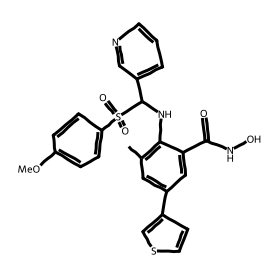 COc1ccc(S(=O)(=O)C(Nc2c(C)cc(-c3ccsc3)cc2C(=O)NO)c2cccnc2)cc1